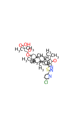 CC(C)C1=C2[C@H]3CCC4[C@@]5(C)CC[C@H](OC(=O)CC(C)(C)C(=O)O)C(C)(C)[C@@H]5CC[C@@]4(C)[C@]3(C)CC[C@@]2(c2nnc(-c3ccc(Cl)cn3)s2)CC1=O